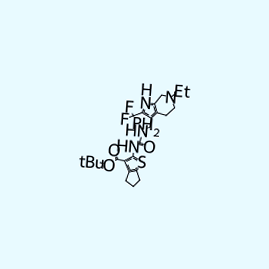 CCN1CCc2c([nH]c(C(F)(F)P)c2CNC(=O)Nc2sc3c(c2C(=O)OC(C)(C)C)CCC3)C1